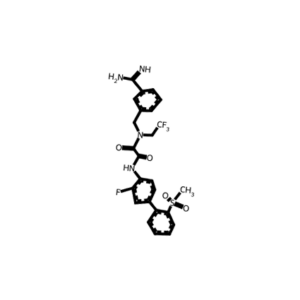 CS(=O)(=O)c1ccccc1-c1ccc(NC(=O)C(=O)N(Cc2cccc(C(=N)N)c2)CC(F)(F)F)c(F)c1